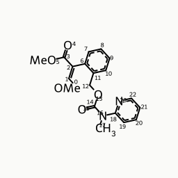 CO/C=C(/C(=O)OC)c1ccccc1COC(=O)N(C)c1ccccn1